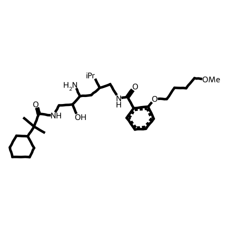 COCCCCOc1ccccc1C(=O)NCC(CC(N)C(O)CNC(=O)C(C)(C)C1CCCCC1)C(C)C